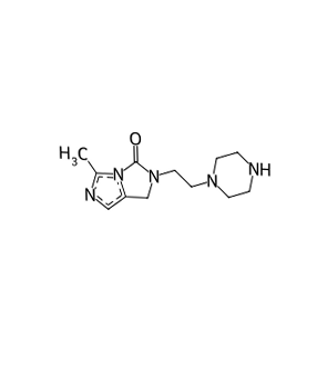 Cc1ncc2n1C(=O)N(CCN1CCNCC1)C2